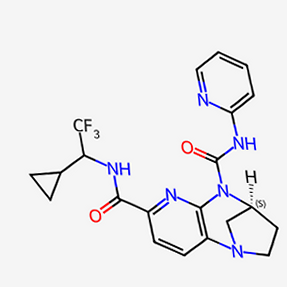 O=C(NC(C1CC1)C(F)(F)F)c1ccc2c(n1)N(C(=O)Nc1ccccn1)[C@H]1CCN2C1